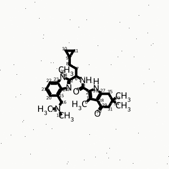 Cc1c(C(=O)NC(CCC2CC2)c2nc3c(CN(C)C)cccc3n2C)[nH]c2c1C(=O)CC(C)(C)C2